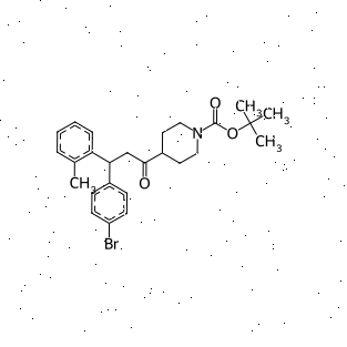 Cc1ccccc1C(CC(=O)C1CCN(C(=O)OC(C)(C)C)CC1)c1ccc(Br)cc1